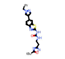 CC(C)Cn1cc(-c2ccc3nc(NC(=O)NCCc4noc(C(C)(C)C)n4)sc3c2)cn1